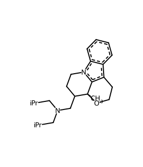 CC(C)CN(CC(C)C)CC1CCn2c3c(c4ccccc42)CCOC31C